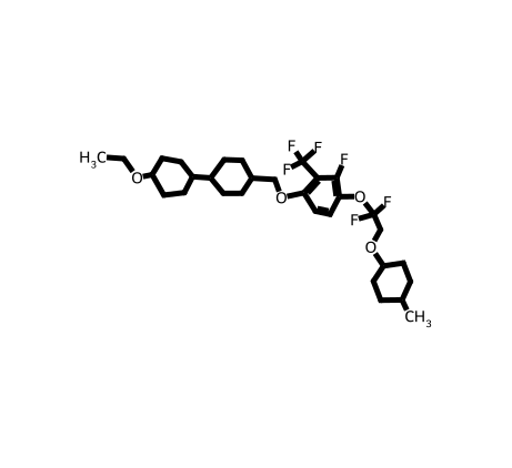 CCOC1CCC(C2CCC(COc3ccc(OC(F)(F)COC4CCC(C)CC4)c(F)c3C(F)(F)F)CC2)CC1